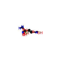 Cc1c(COc2cc(OCc3cncc(C#N)c3)c(CN(C)[C@@](C)(CO)C(=O)O)c(C)c2Cl)cccc1-c1cccc(OCCCN2CC[C@@H](O)C2)c1C